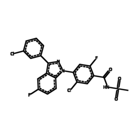 CS(=O)(=O)NC(=O)c1cc(Cl)c(-n2nc(-c3cccc(Cl)c3)c3cc(F)ccc32)cc1F